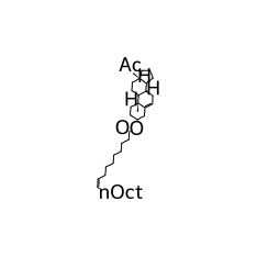 CCCCCCCC/C=C\CCCCCCCC(=O)OC1CC[C@@]2(C)C(=CC[C@H]3[C@@H]4CC[C@H](C(C)=O)[C@@]4(C)CC[C@@H]32)C1